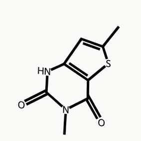 Cc1cc2[nH]c(=O)n(C)c(=O)c2s1